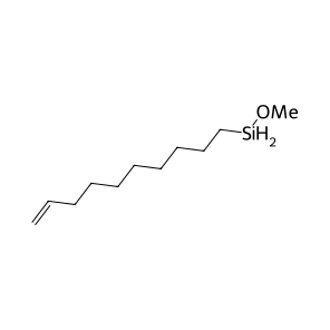 C=CCCCCCCCC[SiH2]OC